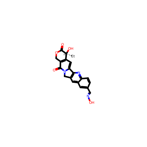 CC[C@@]1(O)C(=O)OCc2c1cc1n(c2=O)Cc2cc3cc(C=NO)ccc3nc2-1